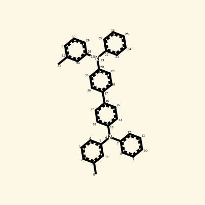 Cc1cccc(N(c2ccccc2)c2ccc(-c3ccc([15N](c4ccccc4)c4cccc(C)c4)cc3)cc2)c1